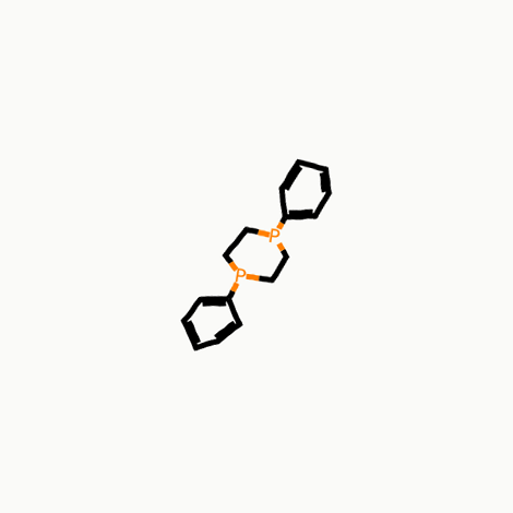 c1ccc(P2CCP(c3ccccc3)CC2)cc1